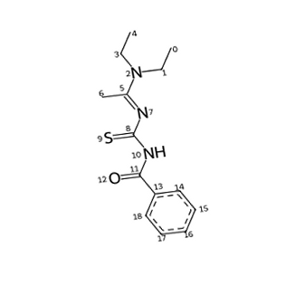 CCN(CC)/C(C)=N/C(=S)NC(=O)c1ccccc1